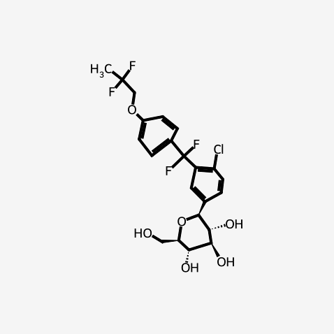 CC(F)(F)COc1ccc(C(F)(F)c2cc([C@@H]3O[C@H](CO)[C@@H](O)[C@H](O)[C@H]3O)ccc2Cl)cc1